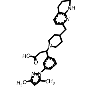 Cc1cc(C)n(-c2cccc(C(CC(=O)O)N3CCC(Cc4ccc5c(n4)NCCC5)CC3)c2)n1